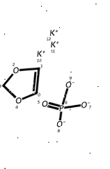 C1=COCO1.O=P([O-])([O-])[O-].[K+].[K+].[K+]